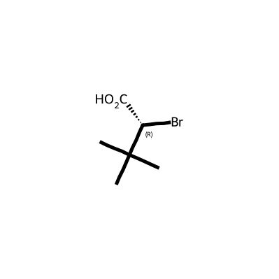 CC(C)(C)[C@@H](Br)C(=O)O